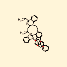 C=CC1=NC2CC(=C)[n+]3c(n(-c4ccc(-c5ccccc5)cc4)c4ccccc43)-c3c(ccc4c3oc3ccccc34)CCC2c2ccccc21